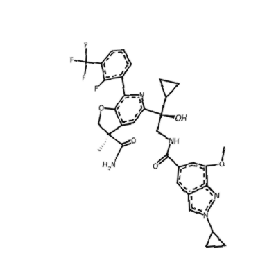 COc1cc(C(=O)NC[C@](O)(c2cc3c(c(-c4cccc(C(F)(F)F)c4F)n2)OC[C@]3(C)C(N)=O)C2CC2)cc2cn(C3CC3)nc12